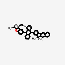 C/C=C\c1c(C(C)C)oc2ccc(-c3c4ccccc4c(-c4ccc5c(c4)C(C)(C)c4cc6ccccc6cc4-5)c4ccccc34)cc12